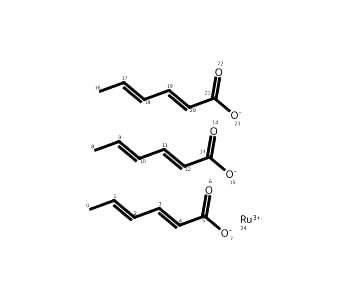 C/C=C/C=C/C(=O)[O-].C/C=C/C=C/C(=O)[O-].C/C=C/C=C/C(=O)[O-].[Ru+3]